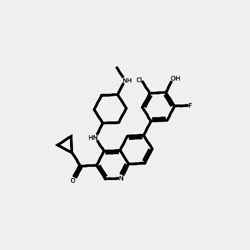 CNC1CCC(Nc2c(C(=O)C3CC3)cnc3ccc(-c4cc(F)c(O)c(Cl)c4)cc23)CC1